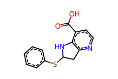 O=C(O)c1ccnc2c1NC(Sc1ccccc1)C2